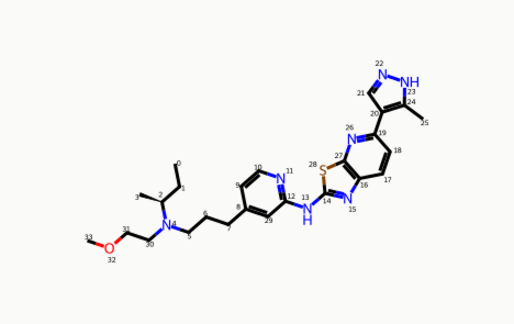 CC[C@H](C)N(CCCc1ccnc(Nc2nc3ccc(-c4cn[nH]c4C)nc3s2)c1)CCOC